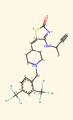 C#CC(C)NC1=NC(=O)SC1=CC1CCN(Cc2ccc(C(F)(F)F)cc2C(F)(F)F)CC1